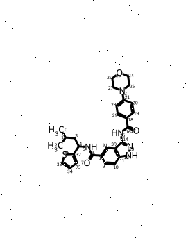 CC(C)CC(NC(=O)c1ccc2[nH]nc(NC(=O)c3ccc(N4CCOCC4)cc3)c2c1)c1cccs1